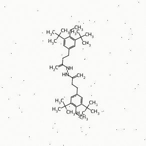 C=C(CCc1cc(C(C)(C)C)c(CC)c(C(C)(C)C)c1)NNC(=C)CCc1cc(C(C)(C)C)c(CC)c(C(C)(C)C)c1